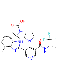 Cc1cccc2[nH]c(-c3cncc(C(=O)N[C@@H](C)C(F)(F)F)c3N3CCC(C)(N(C(=O)O)C(C)(C)C)C3)nc12